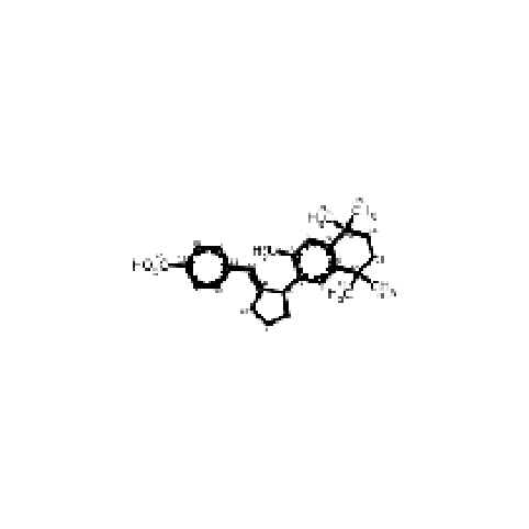 Cc1cc2c(cc1C1CCC/C1=C\c1ccc(C(=O)O)cc1)C(C)(C)CCC2(C)C